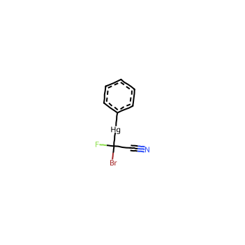 N#C[C](F)(Br)[Hg][c]1ccccc1